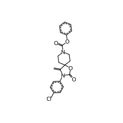 C=C1N(c2ccc(Cl)cc2)C(=O)OC12CCN(C(=O)Oc1ccccc1)CC2